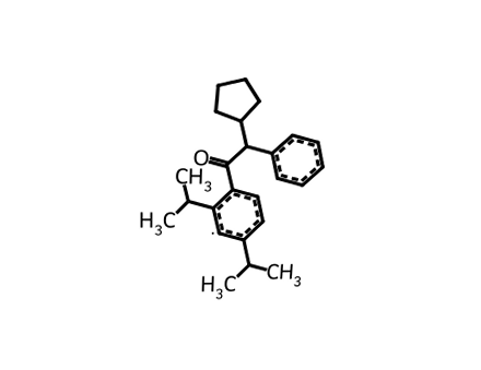 CC(C)c1[c]c(C(C)C)c(C(=O)C(c2ccccc2)C2CCCC2)cc1